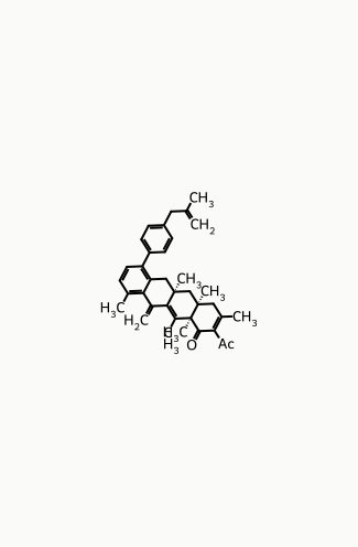 C=C(C)Cc1ccc(-c2ccc(C)c3c2C[C@@]2(C)C[C@@]4(C)CC(C)=C(C(C)=O)C(=O)[C@@]4(C)C(C)=C2C3=C)cc1